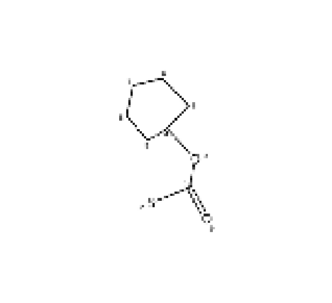 O=C([S])OC1CCCCC1